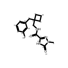 Cn1nc(C(=O)NCC2(Cc3cccc(F)c3)CCC2)[nH]c1=O